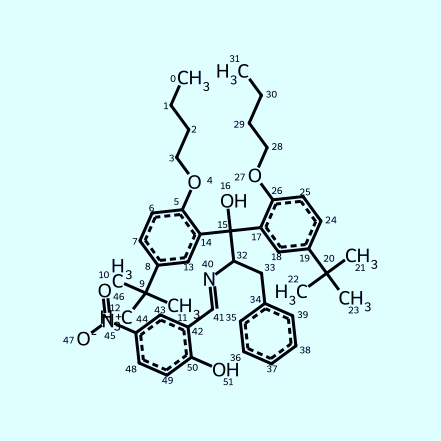 CCCCOc1ccc(C(C)(C)C)cc1C(O)(c1cc(C(C)(C)C)ccc1OCCCC)C(Cc1ccccc1)N=Cc1cc([N+](=O)[O-])ccc1O